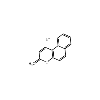 C=C1C=Cc2c(ccc3ccccc23)[CH-]1.[Li+]